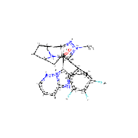 Cc1nc2cccnn2c1C(=O)N1C2CCC1c1nn(C)c(-c3cc(F)c(F)c(F)c3)c1C2